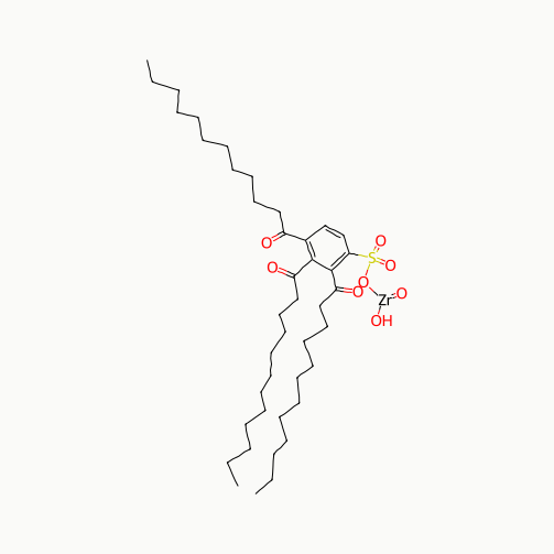 CCCCCCCCCCCC(=O)c1ccc(S(=O)(=O)[O][Zr](=[O])[OH])c(C(=O)CCCCCCCCCCC)c1C(=O)CCCCCCCCCCC